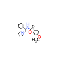 COc1ccc(C2(C(=O)NC(CN3CCCC3)c3ccccc3)CC2)cc1